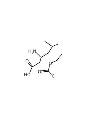 CC(C)CC(N)CC(=O)O.CCOC(=O)Cl